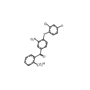 O=C(O)c1ccccc1C(=O)c1ccc(Sc2ccc(Cl)cc2Cl)c([N+](=O)[O-])c1